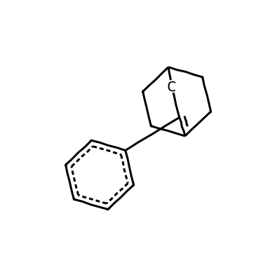 c1ccc(C2=C3CCC(CC3)C2)cc1